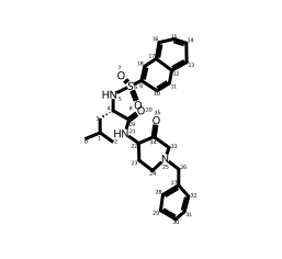 CC(C)C[C@H](NS(=O)(=O)c1ccc2ccccc2c1)C(=O)NC1CCN(Cc2ccccc2)CC1=O